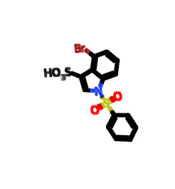 O=S(=O)(O)c1cn(S(=O)(=O)c2ccccc2)c2cccc(Br)c12